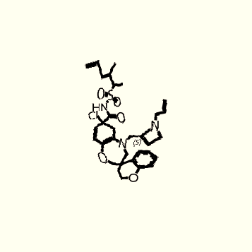 C=CCC(C)C(C)S(=O)(=O)NC(=O)C1(Cl)C=CC2=C(C1)N(C[C@@H]1CCN1CC=C)CC1(CCOc3ccccc31)CO2